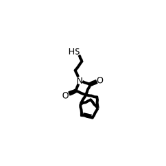 O=C1N(CCS)C(=O)C12CC1C=CC2C1